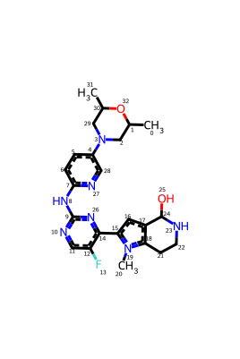 CC1CN(c2ccc(Nc3ncc(F)c(-c4cc5c(n4C)CCNC5O)n3)nc2)CC(C)O1